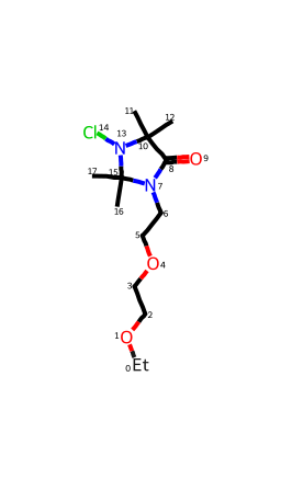 CCOCCOCCN1C(=O)C(C)(C)N(Cl)C1(C)C